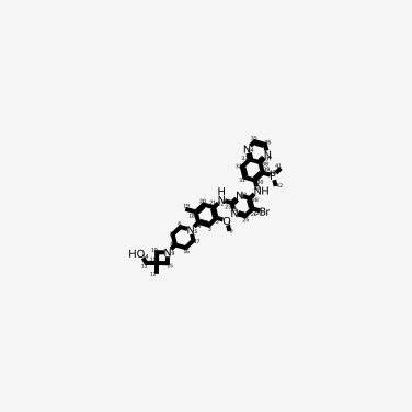 COc1cc(N2CCC(N3CC(C)(CO)C3)CC2)c(C)cc1Nc1ncc(Br)c(Nc2ccc3nccnc3c2P(C)C)n1